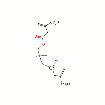 C=C(CC(=O)OCC(C)(C)[CH2][Co](=[O])[CH2]C(=C)C(=O)O)C(=O)O